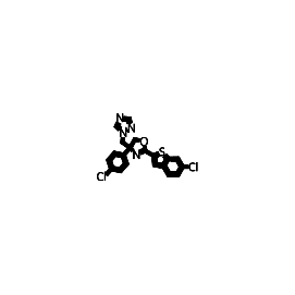 Clc1ccc(C2(Cn3cncn3)COC(c3cc4ccc(Cl)cc4s3)=N2)cc1